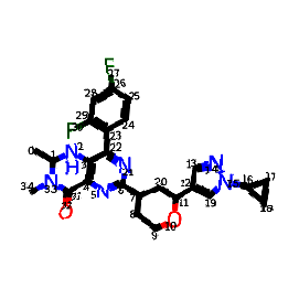 CC1Nc2c(nc(C3CCOC(c4cnn(C5CC5)c4)C3)nc2-c2ccc(F)cc2F)C(=O)N1C